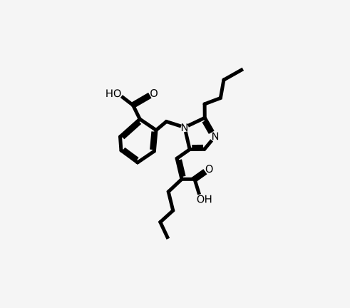 CCCCC(=Cc1cnc(CCCC)n1Cc1ccccc1C(=O)O)C(=O)O